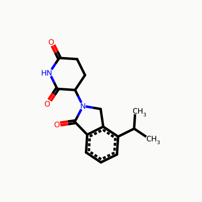 CC(C)c1cccc2c1CN(C1CCC(=O)NC1=O)C2=O